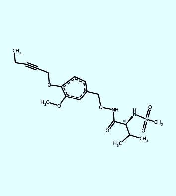 CCC#CCOc1ccc(CONC(=O)[C@@H](NS(C)(=O)=O)C(C)C)cc1OC